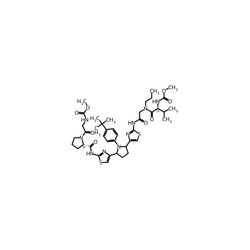 CCCN(CC(=O)Nc1nc(C2CCC(c3csc(NC(=O)[C@@H]4CCCN4C(=O)CNC(=O)OC)n3)N2c2ccc(C(C)(C)C)cc2)cs1)C(=O)[C@@H](NC(=O)OC)C(C)C